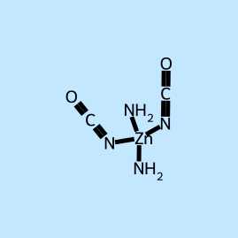 [NH2][Zn]([NH2])([N]=C=O)[N]=C=O